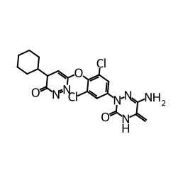 C=C1NC(=O)N(c2cc(Cl)c(OC3=CC(C4CCCCC4)C(=O)N=N3)c(Cl)c2)N=C1N